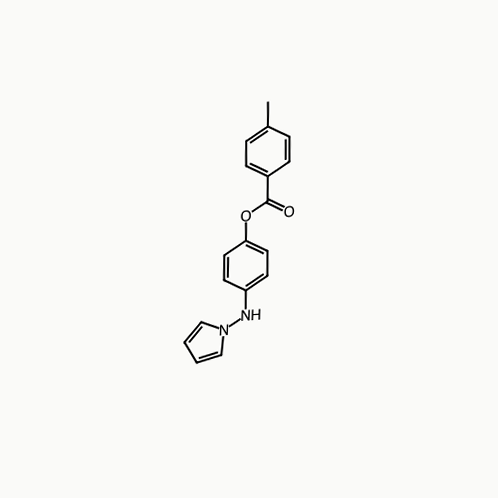 Cc1ccc(C(=O)Oc2ccc(Nn3cccc3)cc2)cc1